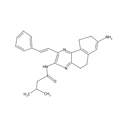 CC(C)CC(=O)Nc1nc2c(nc1/C=C/c1ccccc1)C1=C(C=C(N)CC1)CC2